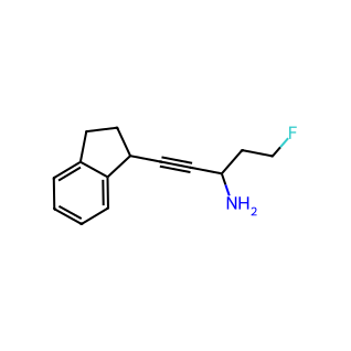 NC(C#CC1CCc2ccccc21)CCF